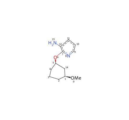 CO[C@H]1CCC[C@@H](Oc2ncccc2N)C1